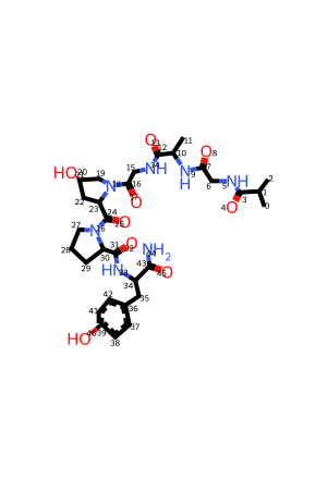 CC(C)C(=O)NCC(=O)NC(C)C(=O)NCC(=O)N1C[C@@H](O)CC1C(=O)N1CCCC1C(=O)NC(Cc1ccc(O)cc1)C(N)=O